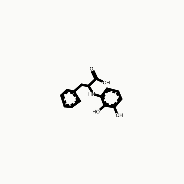 O=C(O)C(Cc1ccccc1)Nc1cccc(O)c1O